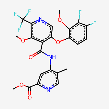 COC(=O)c1cc(NC(=O)c2c(Oc3ccc(F)c(F)c3OC)cnc(C(F)(F)F)c2OC)c(C)cn1